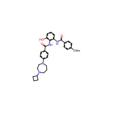 COc1ccc(C(=O)Nc2cccc(O)c2NC(=O)c2ccc(N3CCCN(C4CCC4)CC3)cc2)cc1